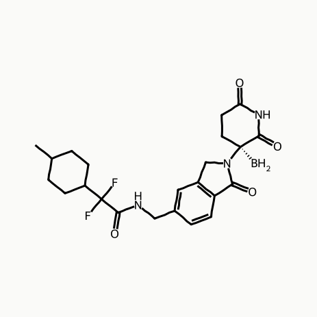 B[C@]1(N2Cc3cc(CNC(=O)C(F)(F)C4CCC(C)CC4)ccc3C2=O)CCC(=O)NC1=O